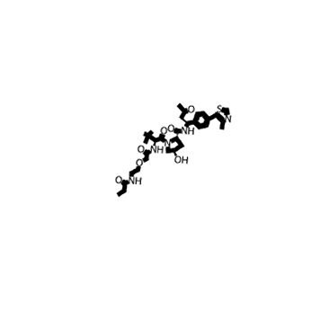 CCC(=O)NCCOCC(=O)N[C@H](C(=O)N1C[C@H](O)C[C@H]1C(=O)N[C@@H](CC(C)=O)c1ccc(-c2scnc2C)cc1)C(C)(C)C